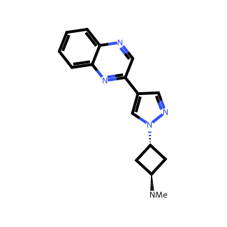 CN[C@H]1C[C@H](n2cc(-c3cnc4ccccc4n3)cn2)C1